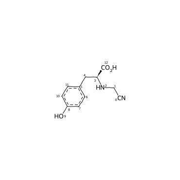 N#CCN[C@@H](Cc1ccc(O)cc1)C(=O)O